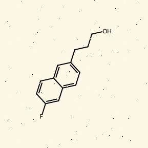 OCCCc1ccc2cc(F)ccc2c1